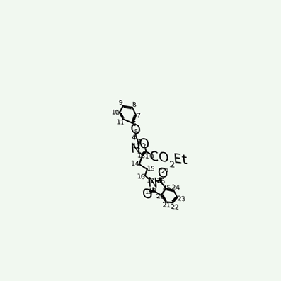 CCOC(=O)c1oc(COc2ccccc2)nc1CCCN1C(=O)c2ccccc2C1=O